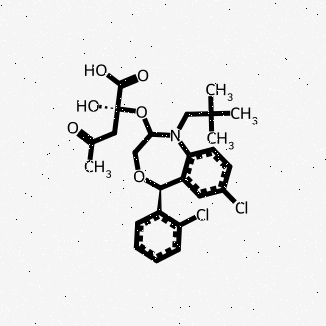 CC(=O)C[C@](O)(OC1CO[C@H](c2ccccc2Cl)c2cc(Cl)ccc2N1CC(C)(C)C)C(=O)O